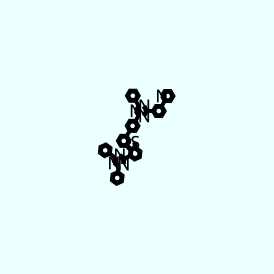 c1ccc(-c2nc(-c3ccc(-c4cccc5c4sc4cccc(-c6nc(-c7ccccc7)nc(-c7ccccc7)n6)c45)cc3)nc(-c3cccc(-c4ccccn4)c3)n2)cc1